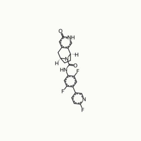 O=C(Nc1cc(F)c(-c2ccc(F)nc2)cc1F)N1[C@H]2CC[C@@H]1c1c[nH]c(=O)cc1C2